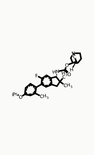 Cc1cc(OC(C)C)ccc1-c1cc2c(cc1F)[C@H](NC(=O)O[C@@H]1CN3CCC1CC3)C(C)(C)C2